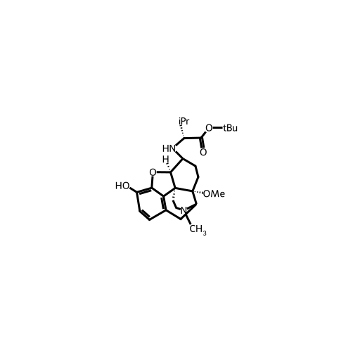 CO[C@@]12CCC(N[C@@H](C(=O)OC(C)(C)C)C(C)C)[C@@H]3Oc4c(O)ccc5c4[C@@]31CCN(C)C2C5